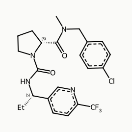 CC[C@H](NC(=O)N1CCC[C@@H]1C(=O)N(C)Cc1ccc(Cl)cc1)c1ccc(C(F)(F)F)nc1